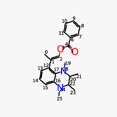 CC(=COC(=O)c1ccccc1)c1cccc2c1N(C)C(C)C(C)N2C